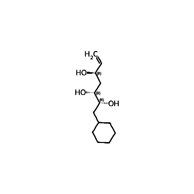 C=C[C@H](O)C[C@@H](O)[C@H](O)CC1CCCCC1